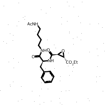 CCOC(=O)[C@H]1O[C@@H]1C(=O)N[C@@H](Cc1ccccc1)C(=O)NCCCCNC(C)=O